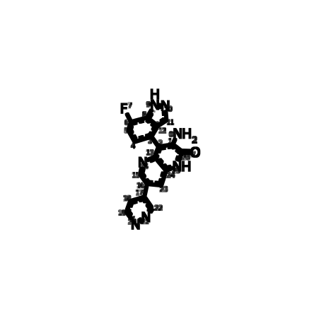 Nc1c(-c2ccc(F)c3[nH]ncc23)c2ncc(-c3ccnnc3)cc2[nH]c1=O